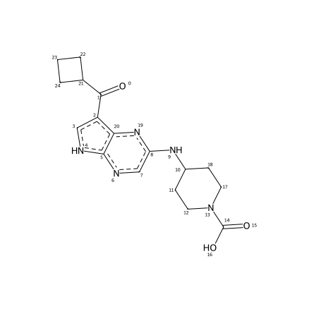 O=C(c1c[nH]c2ncc(NC3CCN(C(=O)O)CC3)nc12)C1CCC1